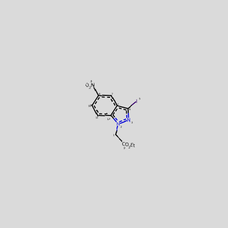 CCOC(=O)Cn1nc(I)c2cc([N+](=O)[O-])ccc21